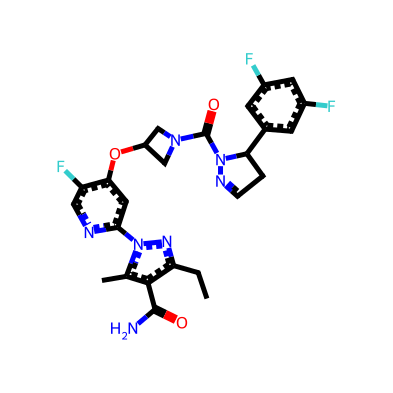 CCc1nn(-c2cc(OC3CN(C(=O)N4N=CCC4c4cc(F)cc(F)c4)C3)c(F)cn2)c(C)c1C(N)=O